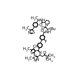 Cc1ncsc1-c1ccc(C(C)NC(=O)C2CCCN2C(=O)C(NC(=O)c2ccc(-c3ccc(C4=NC(CC(=O)N(C)C)c5nnc(C)n5-c5sc(C)c(C)c54)cc3)c(F)c2)C(C)(C)C)cc1